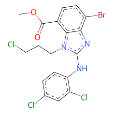 COC(=O)c1ccc(Br)c2nc(Nc3ccc(Cl)cc3Cl)n(CCCCl)c12